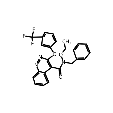 CCON(Cc1ccccc1)C(=O)c1c(Oc2cccc(C(F)(F)F)c2)nnc2ccccc12